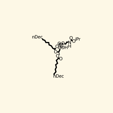 CCCCCCCCCCCCCCCCCC(=O)OC[C@H](COP(=O)(O)OCCNC(=O)OC(C)C)OC(=O)CCCCCCCCCCCCCCCCC